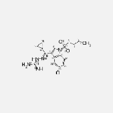 CCCCS(=O)(=O)n1cc(C(=NNC(=N)N)C2CC2)c2cc(Cl)ccc21